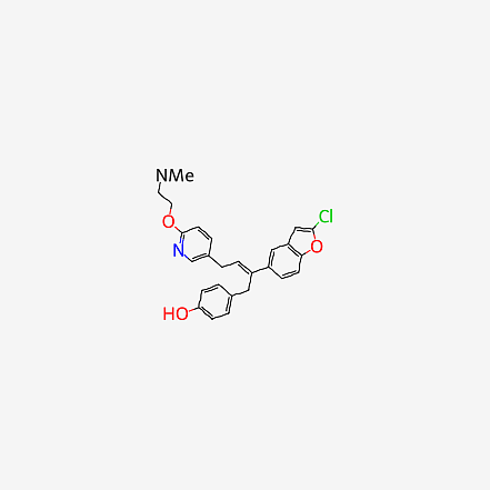 CNCCOc1ccc(CC=C(Cc2ccc(O)cc2)c2ccc3oc(Cl)cc3c2)cn1